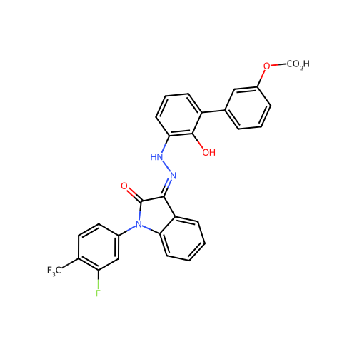 O=C(O)Oc1cccc(-c2cccc(NN=C3C(=O)N(c4ccc(C(F)(F)F)c(F)c4)c4ccccc43)c2O)c1